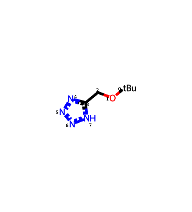 CC(C)(C)OCc1nnn[nH]1